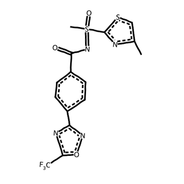 Cc1csc(S(C)(=O)=NC(=O)c2ccc(-c3noc(C(F)(F)F)n3)cc2)n1